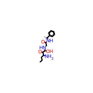 CCCC(N)C(=O)[C@H](O)NCC(=O)N[C@H](C)c1ccccc1